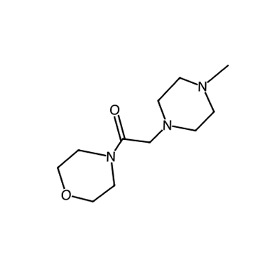 CN1CCN(CC(=O)N2CCOCC2)CC1